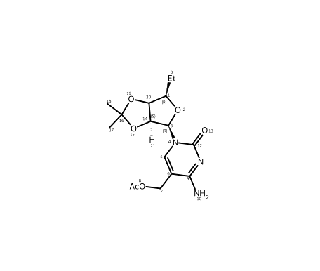 CC[C@H]1O[C@@H](n2cc(COC(C)=O)c(N)nc2=O)[C@H]2OC(C)(C)OC12